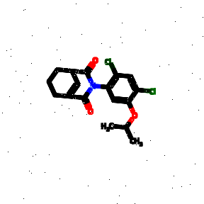 CC(C)Oc1cc(N2C(=O)C3=CC(CCC3)C2=O)c(Cl)cc1Cl